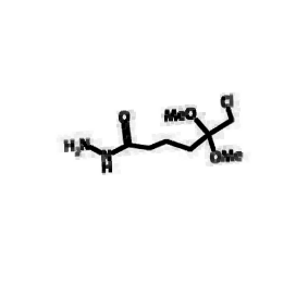 COC(CCl)(CCCC(=O)NN)OC